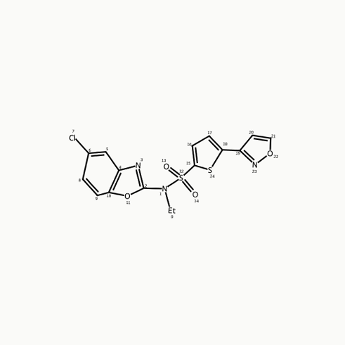 CCN(c1nc2cc(Cl)ccc2o1)S(=O)(=O)c1ccc(-c2ccon2)s1